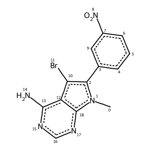 Cn1c(-c2cccc([N+](=O)[O-])c2)c(Br)c2c(N)ncnc21